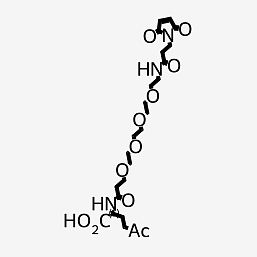 CC(=O)CC[C@H](NC(=O)CCOCCOCCOCCOCCNC(=O)CCN1C(=O)C=CC1=O)C(=O)O